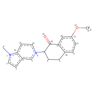 Cn1ccc2c[n+](C3CCc4ccc(OC(F)(F)F)cc4C3=O)ccc21